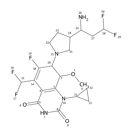 COC1c2c(c(=O)[nH]c(=O)n2C2CC2)C(C(F)F)=C(F)C1N1CCC(C(N)CC(F)F)C1